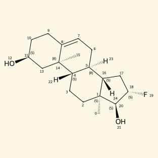 C[C@]12CC[C@H]3[C@@H](CC=C4CC[C@H](O)C[C@@]43C)[C@@H]1C[C@H](F)[C@H]2O